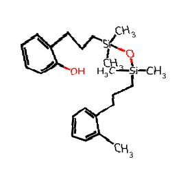 Cc1ccccc1CCC[Si](C)(C)O[Si](C)(C)CCCc1ccccc1O